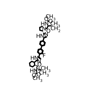 C=C(C)[C@H](NC(=O)OC)C(=O)N1CCC[C@H]1c1ncc(-c2ccc(-c3ccc(-c4cnc(C5CCCC[C@@H]5C(=O)N(NC(=O)OC)C(C)C)[nH]4)c(F)c3)cc2)[nH]1